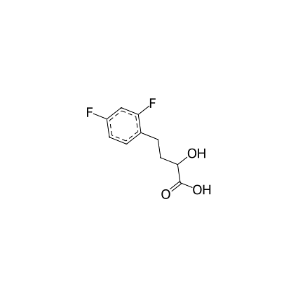 O=C(O)C(O)CCc1ccc(F)cc1F